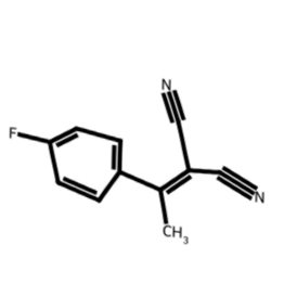 CC(=C(C#N)C#N)c1ccc(F)cc1